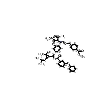 CC(C)=CC1C(C(=O)OC(C#N)c2cccc(Oc3ccccc3)c2)C1(C)C.Cc1nn(C)c(Oc2ccccc2)c1/C=N/OCc1ccc(C(=O)OC(C)(C)C)cc1